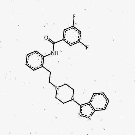 O=C(Nc1ccccc1CCN1CCN(c2nsc3ccccc23)CC1)c1cc(F)cc(F)c1